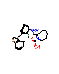 O=C(Nc1cccc(-c2csc3ccccc23)c1F)C1CCCCCN1C(=O)O